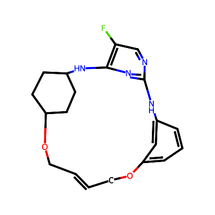 Fc1cnc2nc1NC1CCC(CC1)OC/C=C/COc1cccc(c1)N2